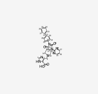 O=C(O)c1[nH]cnc1CN1CCC2(CC1)C(=O)N(c1ccc(-c3ccccc3)cc1)C(=O)N2c1ncccn1